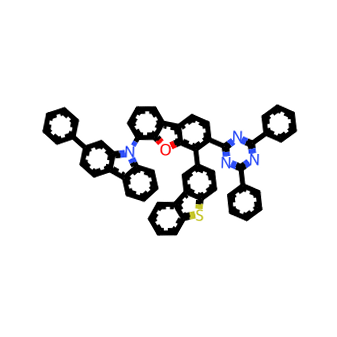 c1ccc(-c2ccc3c4ccccc4n(-c4cccc5c4oc4c(-c6ccc7sc8ccccc8c7c6)c(-c6nc(-c7ccccc7)nc(-c7ccccc7)n6)ccc45)c3c2)cc1